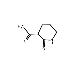 NC(=O)[C@@H]1CCCNC1=O